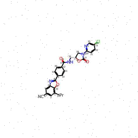 CC(C)c1cc(C#N)cc2nc(-c3ccc(C(=O)NC[C@@H]4CN(c5ccc(Cl)cn5)C(=O)O4)cc3)oc12